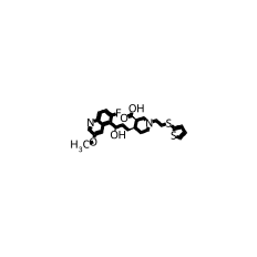 COc1cnc2ccc(F)c([C@@H](O)CC[C@@H]3CCN(CCSc4cccs4)C[C@@H]3C(=O)O)c2c1